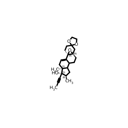 CC#C[C@]1(O)[C@H](C)CC2C3CC[C@@]45CC6(CC[C@@]4(O5)C3=CC[C@@]21C)OCCO6